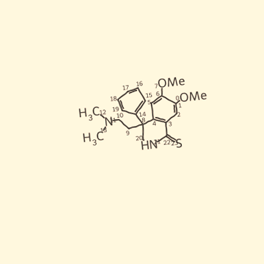 COc1cc2c(cc1OC)C(CCN(C)C)(c1ccccc1)CNC2=S